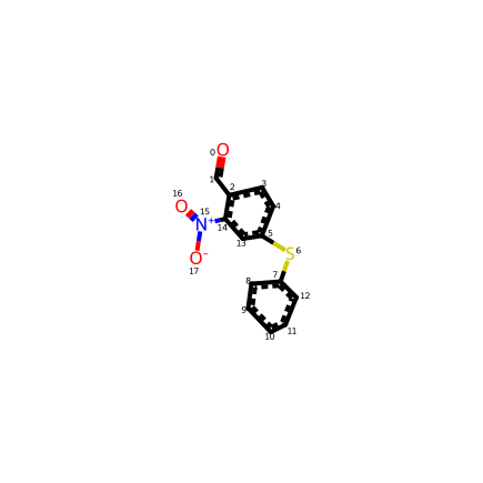 O=Cc1ccc(Sc2ccccc2)cc1[N+](=O)[O-]